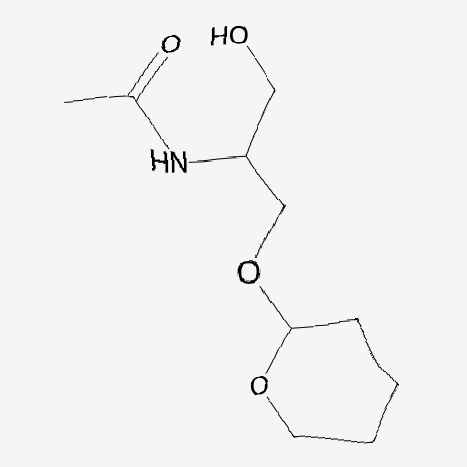 CC(=O)NC(CO)COC1CCCCO1